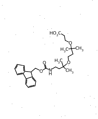 CC(C)(CCNC(=O)OCC1c2ccccc2-c2ccccc21)OCCC(C)(C)OCCC(=O)O